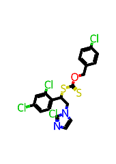 S=C(OCc1ccc(Cl)cc1)SC(Cn1ccnc1)c1c(Cl)cc(Cl)cc1Cl